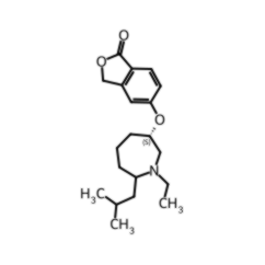 CCN1C[C@@H](Oc2ccc3c(c2)COC3=O)CCCC1CC(C)C